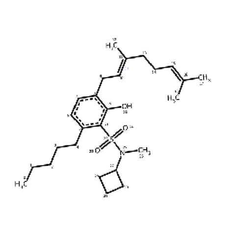 CCCCCc1ccc(C/C=C(\C)CCC=C(C)C)c(O)c1S(=O)(=O)N(C)C1CCC1